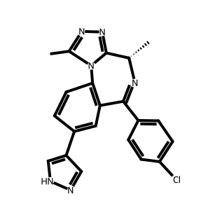 Cc1nnc2n1-c1ccc(-c3cn[nH]c3)cc1C(c1ccc(Cl)cc1)=N[C@H]2C